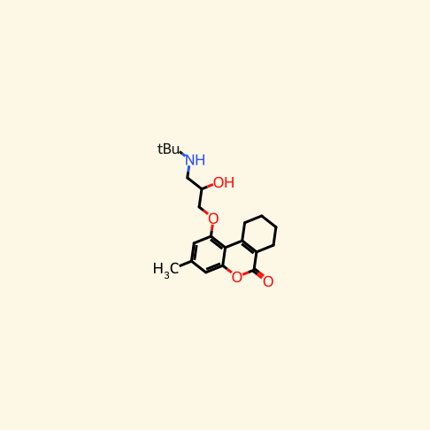 Cc1cc(OCC(O)CNC(C)(C)C)c2c3c(c(=O)oc2c1)CCCC3